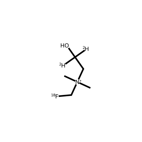 [2H]C([2H])(O)C[N+](C)(C)C[18F]